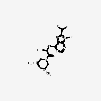 CCn1c(C(F)F)nc2c(NC(C)C(=O)N3C[C@@H](C)O[C@@H](C)C3)ncnc21